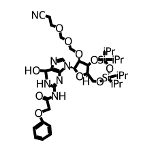 CC(C)[Si]1(C(C)C)OC[C@H]2O[C@@H](n3cnc4c3N=C(NC(=O)COc3ccccc3)NC4O)[C@@H](OCOCOCCC#N)C2O[Si](C(C)C)(C(C)C)O1